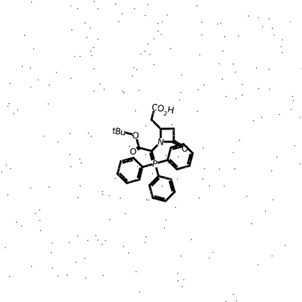 CC(C)(C)OC(=O)C(N1C(=O)CC1CC(=O)O)=P(c1ccccc1)(c1ccccc1)c1ccccc1